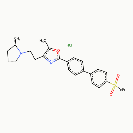 CCCS(=O)(=O)c1ccc(-c2ccc(-c3nc(CCN4CCC[C@H]4C)c(C)o3)cc2)cc1.Cl